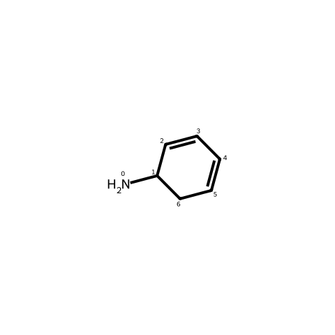 NC1C=CC=CC1